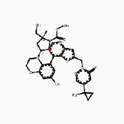 CC(C)(C)OC(=O)N1C[C@@H](N2CCOc3cc(C#N)cc(-c4ccnc5cc(Cn6ncc(C7(C(F)(F)F)CC7)cc6=O)sc45)c32)C[C@]1(C)CO